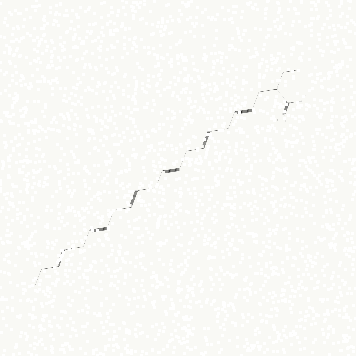 CCC=CCC=CCC=CCC=CCC=CCC=CCC(CC)C(=O)O